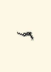 CCCCCCC1CCC(C2CCC(CC)(CCCCCC)CC2)CC1